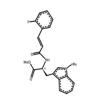 CCCCn1cc(C[C@H](NC(=O)C=Cc2ccccc2F)C(=O)OC)c2ccccc21